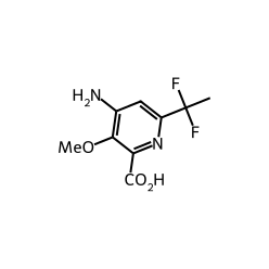 COc1c(N)cc(C(C)(F)F)nc1C(=O)O